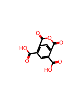 O=C(O)c1cc(C(=O)O)c2cc1C(=O)OC2=O